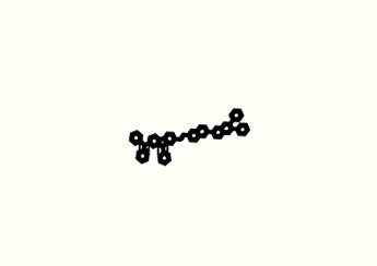 C(=C\c1ccc2c3ccc(N(c4ccccc4)c4ccccc4)cc3n(-c3ccccc3)c2c1)/c1ccc2cc(-c3ccc4cc(-c5ccccc5)c(-c5ccccc5)cc4c3)ccc2c1